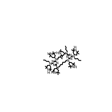 CCCCN(c1nc(N(CCCC)C2CC(C)(C)NC(C)(C)C2)nc(N(CCCCCCN(c2nc(N(CCCC)C3CC(C)(C)NC(C)(C)C3)nc(N(CCCC)C3CC(C)(C)NC(C)(C)C3)n2)C2CC(C)(C)NC(C)(C)C2)C2CC(C)(C)NC(C)(C)C2)n1)C1CC(C)(C)NC(C)(C)C1